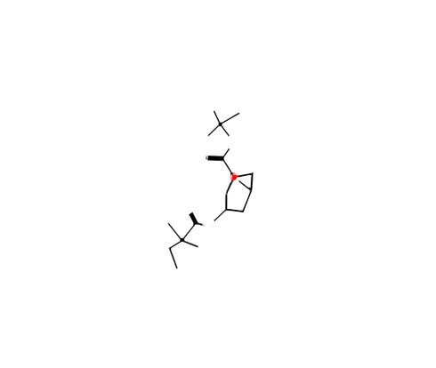 CCC(C)(C)C(=O)OC1CC2CC(C(=O)OC(C)(C)C)C1O2